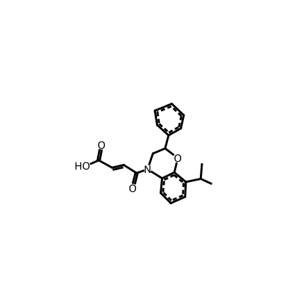 CC(C)c1cccc2c1OC(c1ccccc1)CN2C(=O)/C=C/C(=O)O